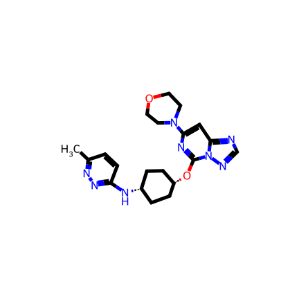 Cc1ccc(N[C@H]2CC[C@@H](Oc3nc(N4CCOCC4)cc4ncnn34)CC2)nn1